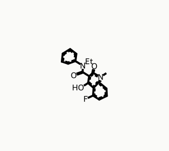 CCN(C(=O)c1c(O)c2c(F)cccc2n(C)c1=O)c1ccccc1